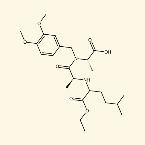 CCOC(=O)C(CCC(C)C)N[C@@H](C)C(=O)N(Cc1ccc(OC)c(OC)c1)[C@@H](C)C(=O)O